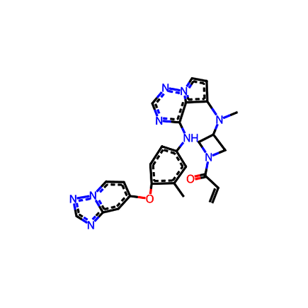 C=CC(=O)N1CC(N(C)c2ccn3ncnc(Nc4ccc(Oc5ccn6ncnc6c5)c(C)c4)c23)C1